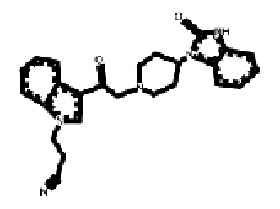 N#CCCn1cc(C(=O)CN2CCC(n3c(=O)[nH]c4ccccc43)CC2)c2ccccc21